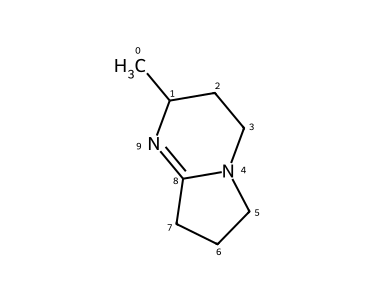 CC1CCN2CCCC2=N1